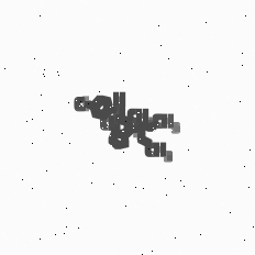 CCCN(CCC)c1c(C)c(Nc2ccc(Cl)cc2Cl)nc2c1CCC2